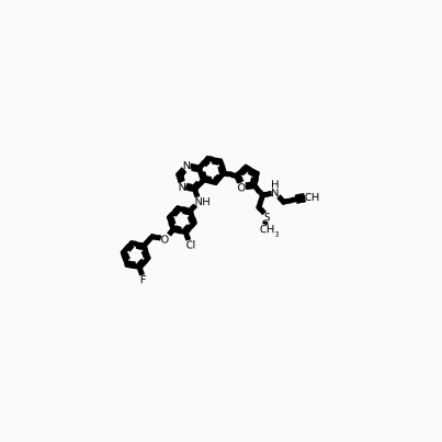 C#CCNC(CSC)c1ccc(-c2ccc3ncnc(Nc4ccc(OCc5cccc(F)c5)c(Cl)c4)c3c2)o1